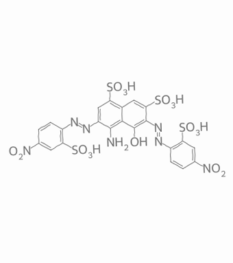 Nc1c(N=Nc2ccc([N+](=O)[O-])cc2S(=O)(=O)O)cc(S(=O)(=O)O)c2cc(S(=O)(=O)O)c(N=Nc3ccc([N+](=O)[O-])cc3S(=O)(=O)O)c(O)c12